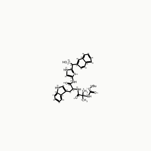 CC(C)(C)OC(=O)NC(C)(C)C(=O)NC(Cc1c[nH]c2ccccc12)C(=O)Nc1c[nH]c(C(C(=O)O)c2ccc3ccccc3c2)n1